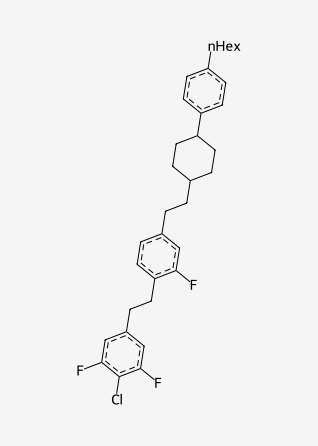 CCCCCCc1ccc(C2CCC(CCc3ccc(CCc4cc(F)c(Cl)c(F)c4)c(F)c3)CC2)cc1